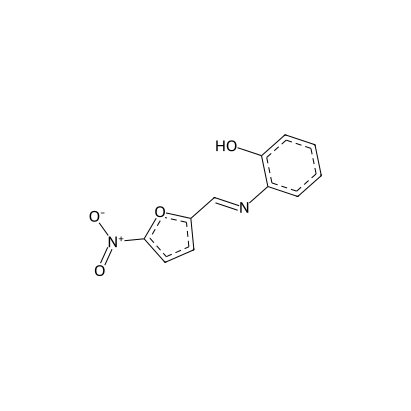 O=[N+]([O-])c1ccc(C=Nc2ccccc2O)o1